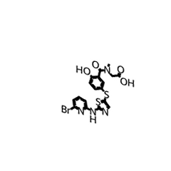 CN(CC(=O)O)C(=O)c1cc(Sc2cnc(Nc3cccc(Br)n3)s2)ccc1O